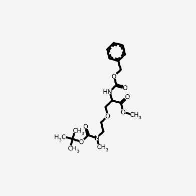 COC(=O)C(COCCN(C)C(=O)OC(C)(C)C)NC(=O)OCc1ccccc1